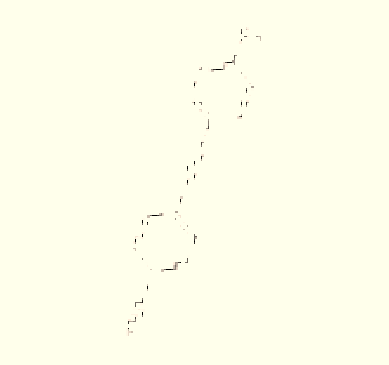 Cc1ccc(C#Cc2ccc(C#N)cc2)cc1